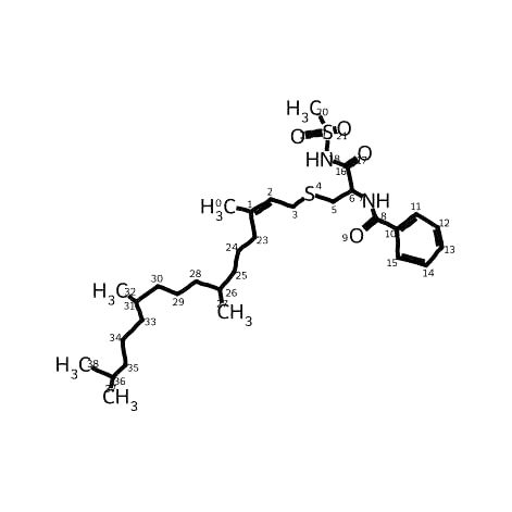 CC(=CCSCC(NC(=O)c1ccccc1)C(=O)NS(C)(=O)=O)CCCC(C)CCCC(C)CCCC(C)C